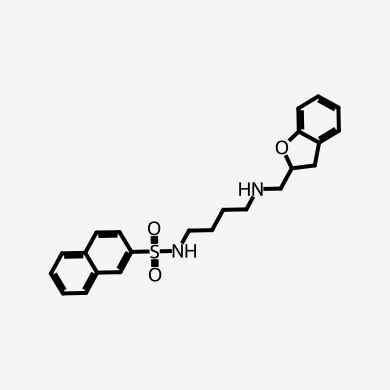 O=S(=O)(NCCCCNCC1Cc2ccccc2O1)c1ccc2ccccc2c1